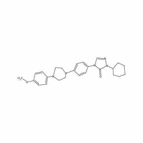 COc1ccc(N2CCN(c3ccc(-n4cnn(C5CCCCC5)c4=O)cc3)CC2)cc1